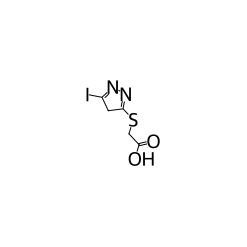 O=C(O)CSC1=NN=C(I)C1